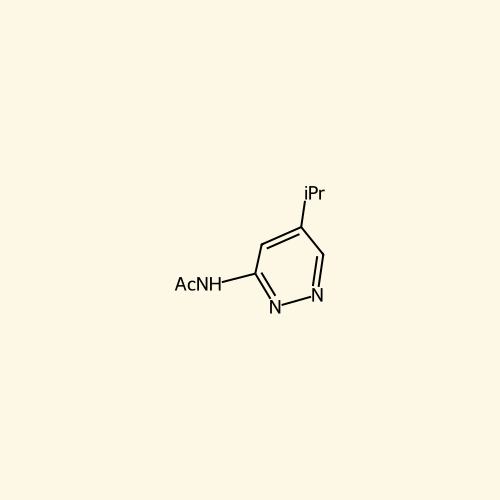 CC(=O)Nc1cc(C(C)C)cnn1